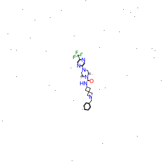 C[C@@H]1CN(c2cnc(C(F)(F)F)cn2)C[C@H](C)N1C(=O)NC1CC2(C1)CN(Cc1ccccc1)C2